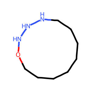 C1CCCCONNNCCC1